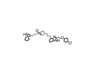 O=C(CCCc1c[nH]c2ccccc12)N1CCC(CCCc2cccc3[nH]c(CCOc4ccc(Cl)cc4)nc23)CC1